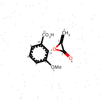 C=C1OC1=O.COc1cccc(C(=O)O)c1